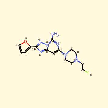 Nc1nc(N2CCN(CCF)CC2)cc2nc(-c3ccco3)nn12